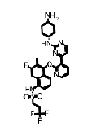 Cc1c(F)cc2c(NS(=O)(=O)CCC(F)(F)F)cccc2c1Oc1ncccc1-c1ccnc(N[C@H]2CC[C@H](N)CC2)n1